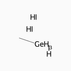 I.I.I.[CH3][GeH3]